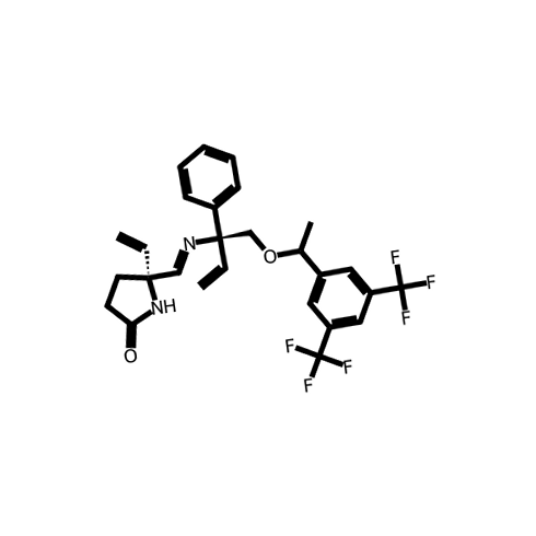 C=C[C@@]1(C=N[C@](C=C)(COC(C)c2cc(C(F)(F)F)cc(C(F)(F)F)c2)c2ccccc2)CCC(=O)N1